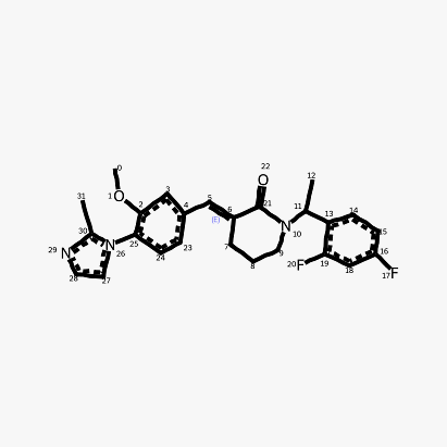 COc1cc(/C=C2\CCCN(C(C)c3ccc(F)cc3F)C2=O)ccc1-n1ccnc1C